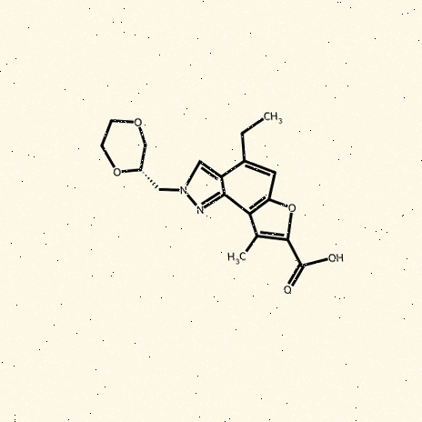 CCc1cc2oc(C(=O)O)c(C)c2c2nn(C[C@H]3COCCO3)cc12